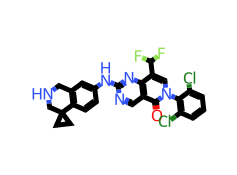 O=c1c2cnc(Nc3ccc4c(c3)CNCC43CC3)nc2c(C(F)F)cn1-c1c(Cl)cccc1Cl